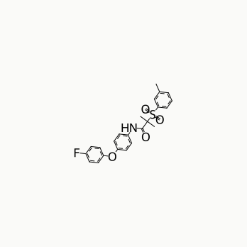 Cc1cccc(S(=O)(=O)C(C)(C)C(=O)Nc2ccc(Oc3ccc(F)cc3)cc2)c1